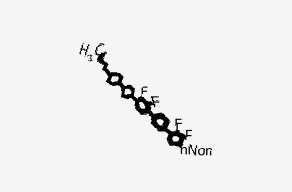 C/C=C/CCC1CCC(C2CC=C(c3ccc(-c4ccc(-c5ccc(CCCCCCCCC)c(F)c5F)cc4)c(F)c3F)CC2)CC1